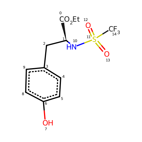 CCOC(=O)[C@H](Cc1ccc(O)cc1)NS(=O)(=O)C(F)(F)F